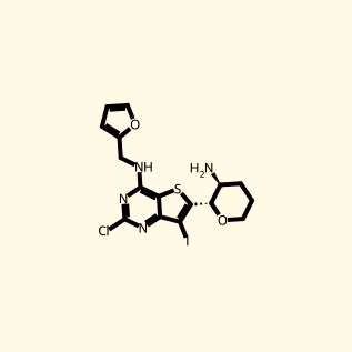 N[C@H]1CCCO[C@@H]1c1sc2c(NCc3ccco3)nc(Cl)nc2c1I